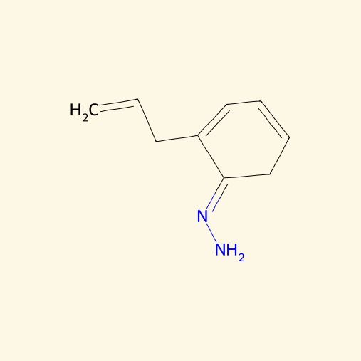 C=CCC1=CC=CCC1=NN